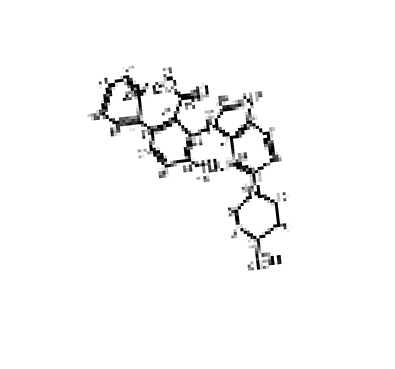 CCC(C)C1CCN(c2ccc3ncn(-c4c(C(C)(C)C)ccc(-c5ccccc5)c4C(=O)OC)c3c2)CC1